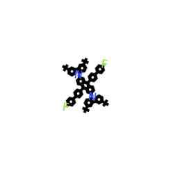 CC(C)(C)c1ccc2c(c1)c1cc(C(C)(C)C)ccc1n2-c1ccc2c(-c3ccc(-c4ccc(F)cc4)cc3)c3cc(-n4c5ccc(C(C)(C)C)cc5c5cc(C(C)(C)C)ccc54)ccc3c(-c3ccc(-c4ccc(F)cc4)cc3)c2c1